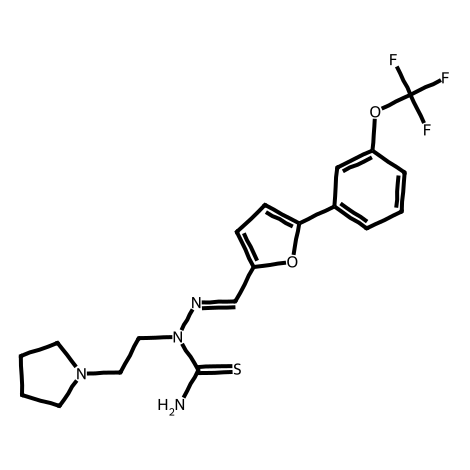 NC(=S)N(CCN1CCCC1)/N=C/c1ccc(-c2cccc(OC(F)(F)F)c2)o1